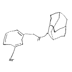 Brc1cccc(CNC2C3CC4CC(C3)CC2C4)c1